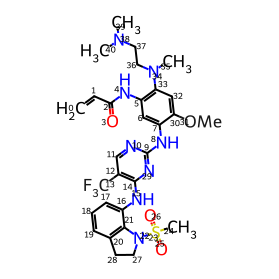 C=CC(=O)Nc1cc(Nc2ncc(C(F)(F)F)c(Nc3cccc4c3N(S(C)(=O)=O)CC4)n2)c(OC)cc1N(C)CCN(C)C